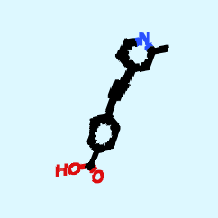 Cc1cc(C#Cc2ccc(C(=O)O)cc2)ccn1